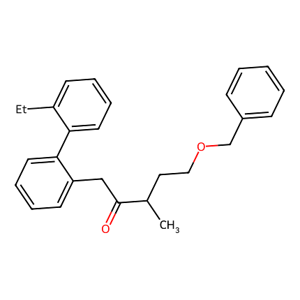 CCc1ccccc1-c1ccccc1CC(=O)C(C)CCOCc1ccccc1